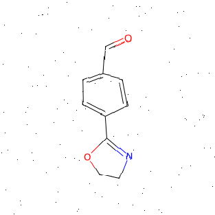 O=Cc1ccc(C2=NCCO2)cc1